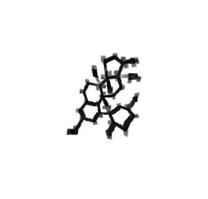 C[C@]12CC[C@@H]3c4c(cc(O)cc4C4=CC(=O)C=CC4=O)CC[C@H]3[C@@H]1CC[C@H]2O